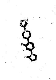 O=C1CCCN1c1ccc(C2CCN(c3cn[nH]c3)CC2)c(F)c1